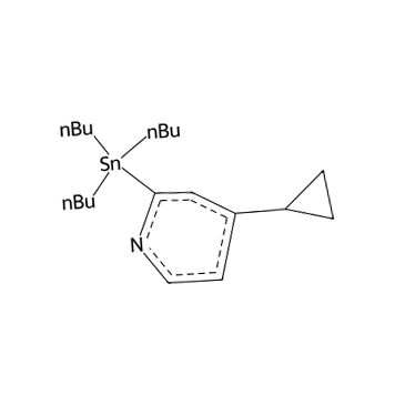 CCC[CH2][Sn]([CH2]CCC)([CH2]CCC)[c]1cc(C2CC2)ccn1